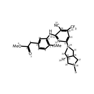 COC(=O)Cc1ccc(SC)c(Nc2nc(N3CC4CN(C)C[C@H]4C3)cc(C(F)(F)F)c2C#N)c1